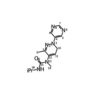 CC1=NN(c2cncnc2)CC=C1N(C)C(=O)NC(C)C